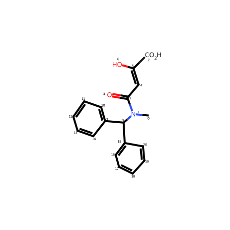 CN(C(=O)C=C(O)C(=O)O)C(c1ccccc1)c1ccccc1